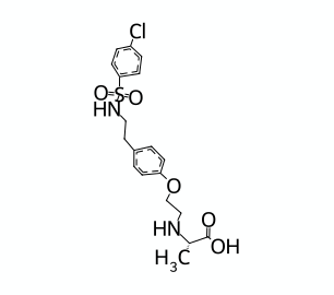 C[C@H](NCCOc1ccc(CCNS(=O)(=O)c2ccc(Cl)cc2)cc1)C(=O)O